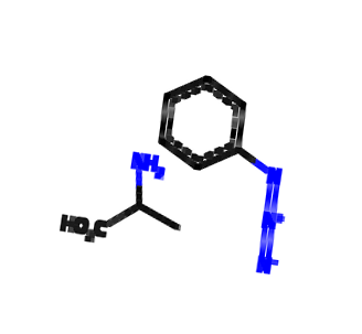 CC(N)C(=O)O.[N-]=[N+]=Nc1ccccc1